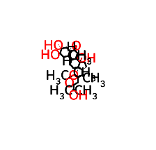 CC(=O)OC(CCC(C)(C)O)[C@@H](C)[C@H]1CC[C@@]2(O)C3=CC(=O)[C@@H]4C[C@@H](O)[C@@H](O)C[C@]4(C)[C@H]3CC[C@]12C